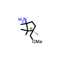 COC[C@]1(C)CCC(C)(N)C1(C)C